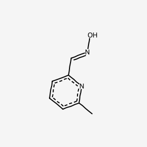 Cc1cccc(C=NO)n1